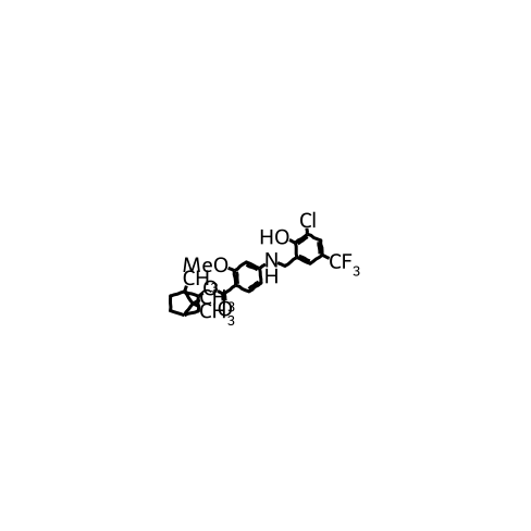 COc1cc(NCc2cc(C(F)(F)F)cc(Cl)c2O)ccc1C(=O)OC1CC2CCC1(C)C2(C)C